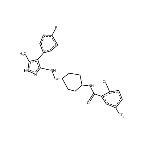 Cc1[nH]nc(NC[C@H]2CC[C@H](NC(=O)c3cc(C(F)(F)F)ccc3Cl)CC2)c1-c1ccc(F)cc1